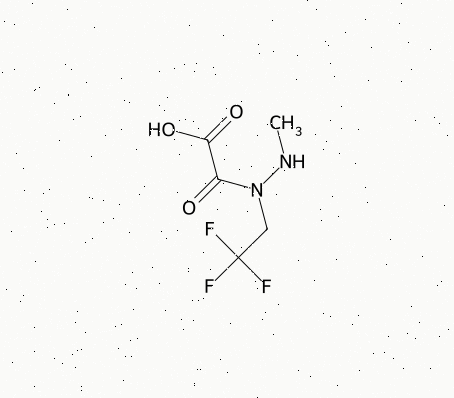 CNN(CC(F)(F)F)C(=O)C(=O)O